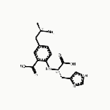 C[C@@H](N)Cc1ccc(N[C@@H](Cc2c[nH]cn2)C(=O)O)c(C(=O)O)c1